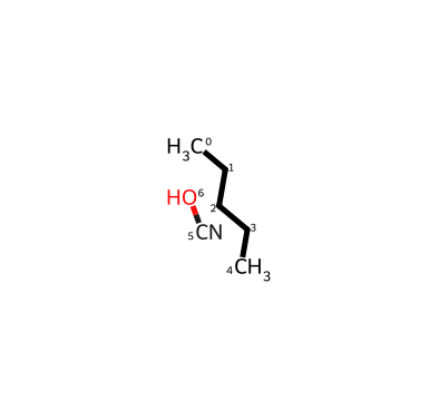 CCCCC.N#CO